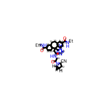 CCNC(=O)c1ccc2c(c1)CCc1cc(C(=O)NCC)ccc1C2(C[C@@H](NCC(=O)N1C(C#N)C[C@@H]2C[C@@H]21)C(C)C)c1nnn[nH]1